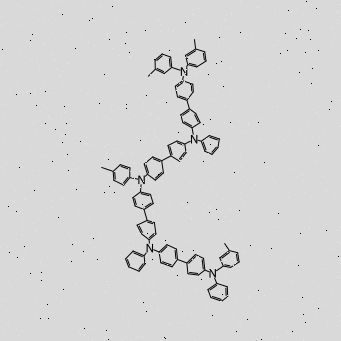 Cc1ccc(N(c2ccc(-c3ccc(N(c4ccccc4)c4ccc(-c5ccc(N(c6ccccc6)c6cccc(C)c6)cc5)cc4)cc3)cc2)c2ccc(-c3ccc(N(c4ccccc4)c4ccc(-c5ccc(N(c6cccc(C)c6)c6cccc(C)c6)cc5)cc4)cc3)cc2)cc1